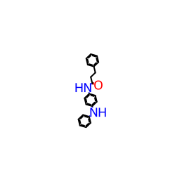 O=C(CCc1ccccc1)Nc1ccc(Nc2ccccc2)cc1